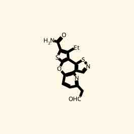 CCc1c(C(N)=O)sc(Oc2ccc(CC=O)nc2)c1-c1sncc1C